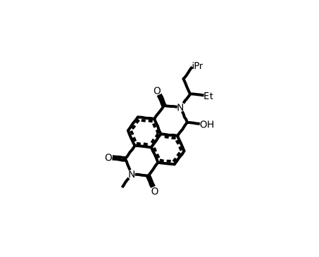 CCC(CC(C)C)N1C(=O)c2ccc3c4c(ccc(c24)C1O)C(=O)N(C)C3=O